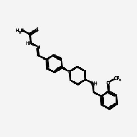 NC(=S)N/N=C/c1ccc(N2CCC(NCc3ccccc3OC(F)(F)F)CC2)cc1